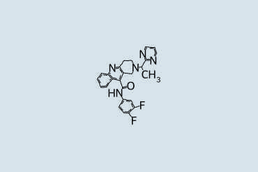 CC(c1ncccn1)N1CCc2nc3ccccc3c(C(=O)Nc3ccc(F)c(F)c3)c2C1